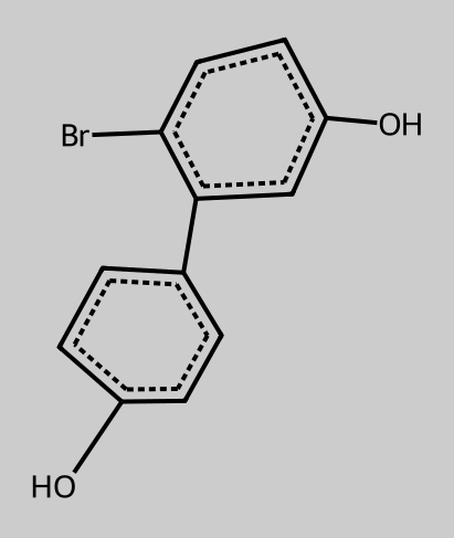 Oc1ccc(-c2cc(O)ccc2Br)cc1